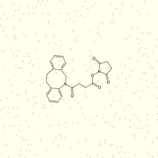 O=C(CCC(=O)N1Cc2ccccc2CCc2ccccc21)ON1C(=O)CCC1=O